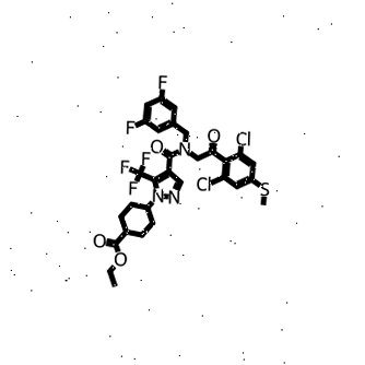 CCOC(=O)C1CCC(n2ncc(C(=O)N(CC(=O)c3c(Cl)cc(SC)cc3Cl)Cc3cc(F)cc(F)c3)c2C(F)(F)F)CC1